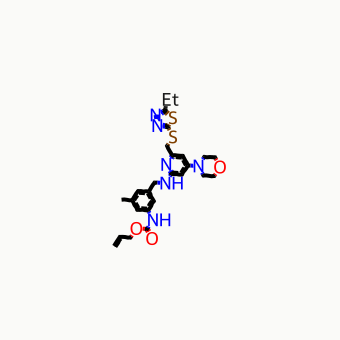 C=CCOC(=O)Nc1cc(C)cc(CNc2cc(N3CCOCC3)cc(CSc3nnc(CC)s3)n2)c1